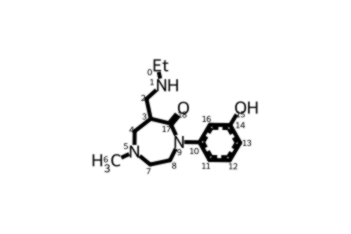 CCNCC1CN(C)CCN(c2cccc(O)c2)C1=O